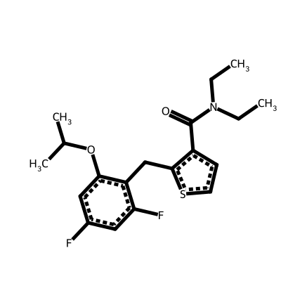 CCN(CC)C(=O)c1ccsc1Cc1c(F)cc(F)cc1OC(C)C